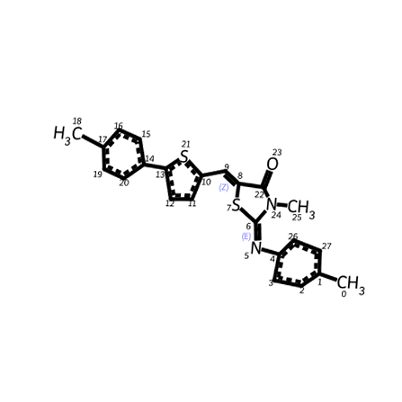 Cc1ccc(/N=C2/S/C(=C\c3ccc(-c4ccc(C)cc4)s3)C(=O)N2C)cc1